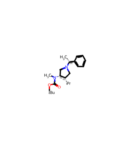 CC(C)[C@H]1CN([C@H](C)c2ccccc2)C[C@H]1N(C)C(=O)OC(C)(C)C